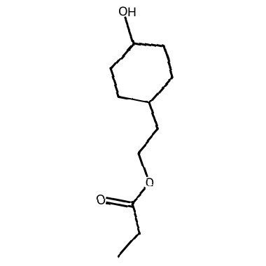 CCC(=O)OCCC1CCC(O)CC1